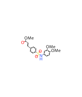 COC(=O)C=Cc1ccc(S(=O)(=O)Nc2ccc(OC)c(OC)c2)cc1